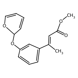 COC(=O)C=C(C)c1cccc(OC2C=CC=CO2)c1